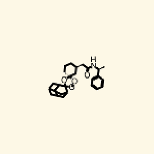 C[C@H](NC(=O)C[C@@H]1CCC[C@]2(C1)OOC1(O2)C2CC3CC(C2)CC1C3)c1ccccc1